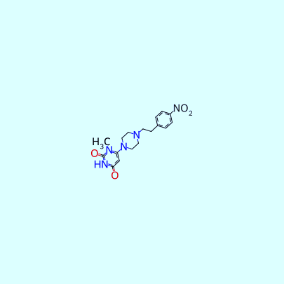 Cn1c(N2CCN(CCc3ccc([N+](=O)[O-])cc3)CC2)cc(=O)[nH]c1=O